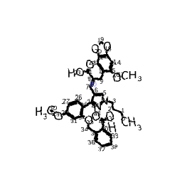 CCCCn1cc(/C=C(\Cc2cc3c(cc2OC)OCO3)C(=O)O)c(-c2ccc(OC)cc2OCc2ccccc2C(=O)O)n1